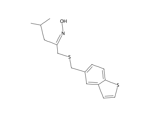 CC(C)CC(CSCc1ccc2sccc2c1)=NO